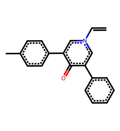 C=Cn1cc(-c2ccccc2)c(=O)c(-c2ccc(C)cc2)c1